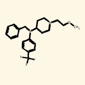 COCCN1CCC(N(Cc2ccccc2)c2ccc(C(F)(F)F)cc2)CC1